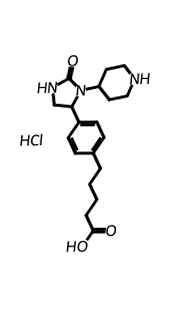 Cl.O=C(O)CCCCc1ccc(C2CNC(=O)N2C2CCNCC2)cc1